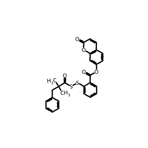 CC(C)(Cc1ccccc1)C(=O)SSc1ccccc1C(=O)Oc1ccc2ccc(=O)oc2c1